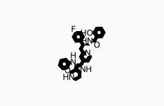 O=C(NC[C@@H](Cc1cc(-c2[nH]c3c(c2Nc2ccccc2)C(=O)NCC3)ccn1)c1ccc(F)cc1)c1ccccc1O